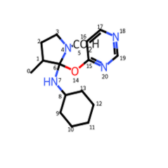 CC1CCN(C(=O)O)C1(NC1CCCCC1)Oc1ccncn1